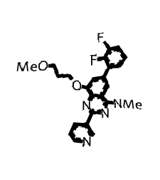 CNc1nc(-c2cccnc2)nc2c(OCCCOC)cc(-c3cccc(F)c3F)cc12